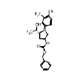 N#Cc1ccc(N2CC(NC(=O)OCc3ccccc3)C[C@@H]2C(O)C(F)(F)F)cc1C(F)(F)F